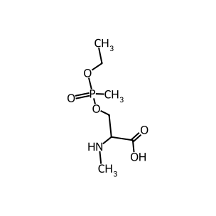 CCOP(C)(=O)OCC(NC)C(=O)O